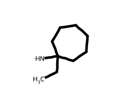 CCC1([NH])CCCCCC1